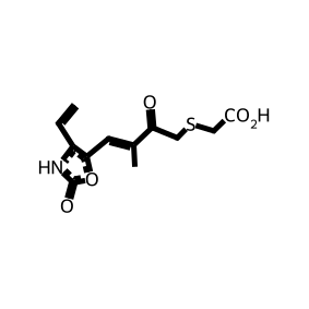 C=Cc1[nH]c(=O)oc1/C=C(\C)C(=O)CSCC(=O)O